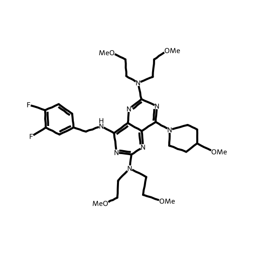 COCCN(CCOC)c1nc(N2CCC(OC)CC2)c2nc(N(CCOC)CCOC)nc(NCc3ccc(F)c(F)c3)c2n1